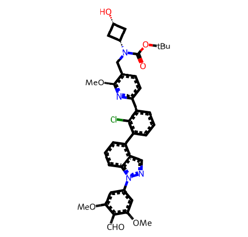 COc1cc(-n2ncc3c(-c4cccc(-c5ccc(CN(C(=O)OC(C)(C)C)[C@H]6C[C@@H](O)C6)c(OC)n5)c4Cl)cccc32)cc(OC)c1C=O